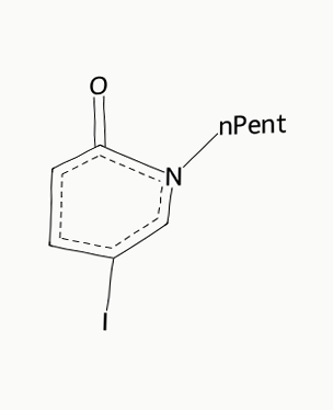 CCCCCn1cc(I)ccc1=O